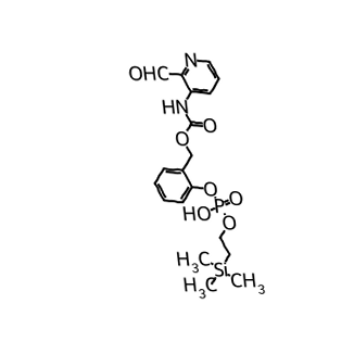 C[Si](C)(C)CCOP(=O)(O)Oc1ccccc1COC(=O)Nc1cccnc1C=O